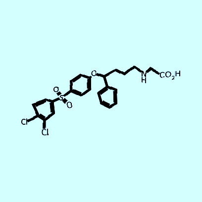 O=C(O)CNCCCC(Oc1ccc(S(=O)(=O)c2ccc(Cl)c(Cl)c2)cc1)c1ccccc1